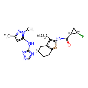 CCOC(=O)c1c(NC(=O)[C@H]2C[C@H]2F)sc2c1C[C@@H](n1cnnc1Nc1cc(C(F)(F)F)nn1C)CC2